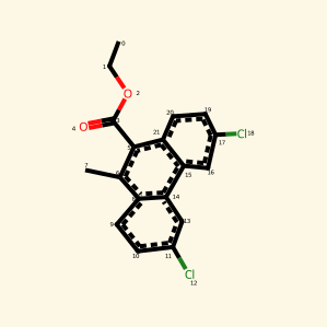 CCOC(=O)c1c(C)c2ccc(Cl)cc2c2cc(Cl)ccc12